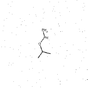 CC(C)OPP